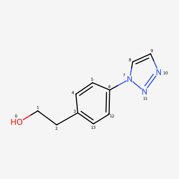 OCCc1ccc(-n2ccnn2)cc1